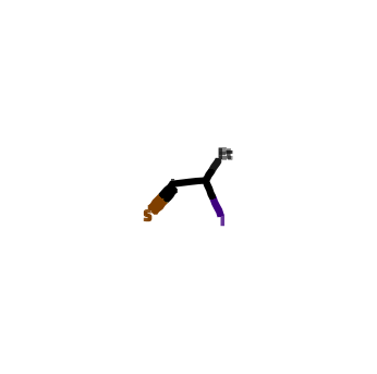 CCC(I)[C]=S